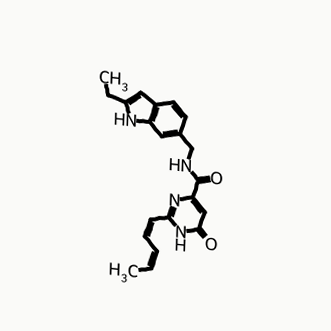 C/C=C\C=C/c1nc(C(=O)NCc2ccc3cc(CC)[nH]c3c2)cc(=O)[nH]1